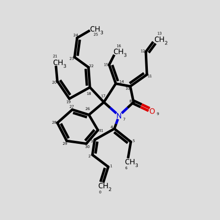 C=C/C=C\C(=C/C)N1C(=O)C(=C/C=C)/C(=C\C)C1(C(/C=C\C)=C/C=C\C)c1ccccc1